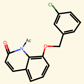 CC(=O)n1c(=O)ccc2cccc(OCc3cccc(Cl)c3)c21